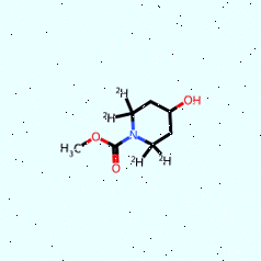 [2H]C1([2H])CC(O)CC([2H])([2H])N1C(=O)OC